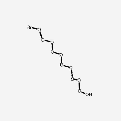 OOOOOOOOOOOBr